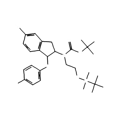 CC(C)(C)OC(=O)N(CCO[Si](C)(C)C(C)(C)C)C1Cc2cc(Br)ccc2C1Sc1ccc(F)cc1